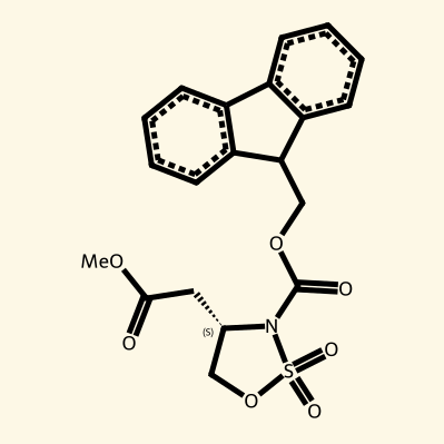 COC(=O)C[C@H]1COS(=O)(=O)N1C(=O)OCC1c2ccccc2-c2ccccc21